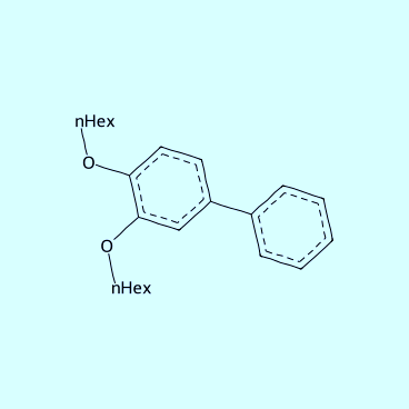 CCCCCCOc1ccc(-c2ccccc2)cc1OCCCCCC